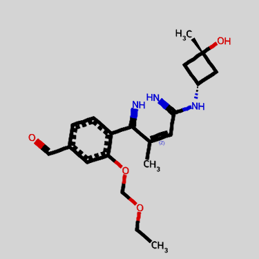 CCOCOc1cc(C=O)ccc1C(=N)/C(C)=C\C(=N)N[C@H]1C[C@@](C)(O)C1